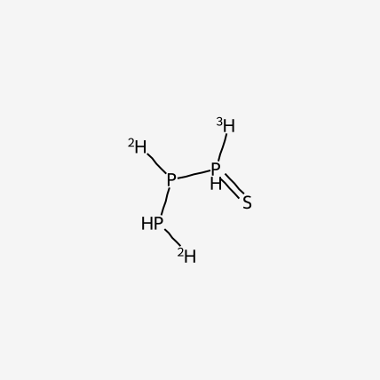 [2H]PP([2H])[PH]([3H])=S